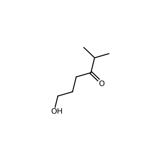 CC(C)C(=O)CCCO